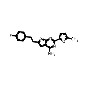 Cc1ccc(-c2nc(N)c3cc(CCc4ccc(F)cc4)sc3n2)o1